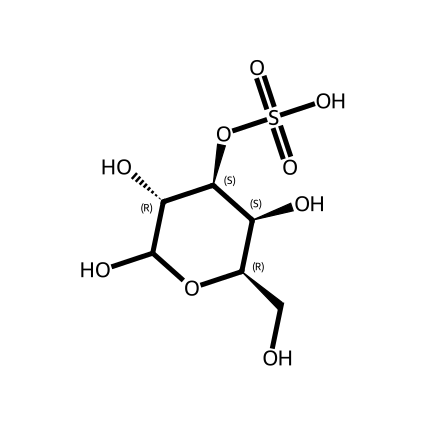 O=S(=O)(O)O[C@H]1[C@@H](O)[C@@H](CO)OC(O)[C@@H]1O